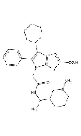 CC(NC(=O)Cn1c(-c2ccccc2)c(C2CCCCC2)c2cc(C(=O)O)sc21)C1CCCN(C)C1